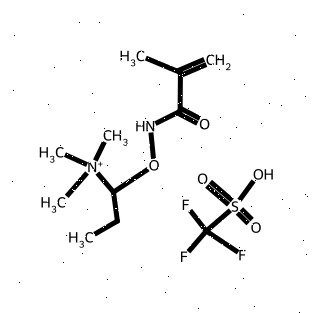 C=C(C)C(=O)NOC(CC)[N+](C)(C)C.O=S(=O)(O)C(F)(F)F